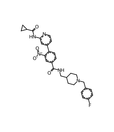 O=C(NCC1CCN(Cc2ccc(F)cc2)CC1)c1ccc(-c2ccnc(NC(=O)C3CC3)c2)c([N+](=O)[O-])c1